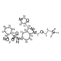 C[Si](C)(C)CCOCn1nc(-c2cnco2)c2cc(NS(=O)(=O)c3ccccc3[N+](=O)[O-])ccc21